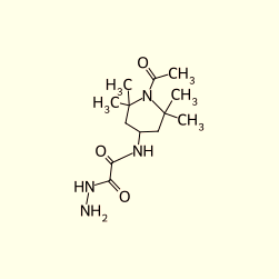 CC(=O)N1C(C)(C)CC(NC(=O)C(=O)NN)CC1(C)C